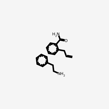 C=CCc1ccccc1C(N)=O.NCCc1ccccc1